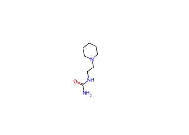 NC(=O)NCCN1CCCCC1